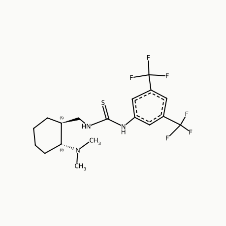 CN(C)[C@@H]1CCCC[C@H]1CNC(=S)Nc1cc(C(F)(F)F)cc(C(F)(F)F)c1